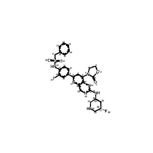 O=C1OCCN1c1cc(-c2ccc(NS(=O)(=O)Cc3ccccc3)c(F)c2)nc2cnc(N[C@@H]3CNC[C@@H](F)C3)nc12